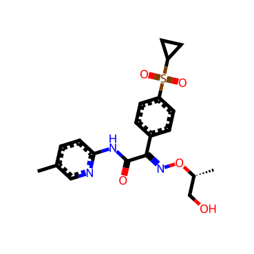 Cc1ccc(NC(=O)/C(=N/O[C@H](C)CO)c2ccc(S(=O)(=O)C3CC3)cc2)nc1